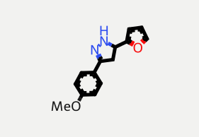 COc1ccc(C2=NNC(c3ccco3)C2)cc1